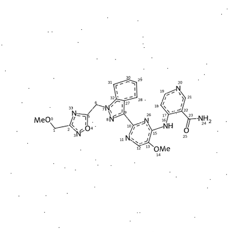 COCc1noc(Cn2nc(-c3ncc(OC)c(Nc4ccncc4C(N)=O)n3)c3ccccc32)n1